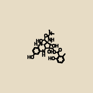 Cc1cccc(O)c1C(=O)OC[C@@]1(O)[C@@H](Nc2cccc(O)c2)[C@H](N)[C@@](NC(=O)N(C)C)([C@H](C)O)[C@@]1(C)O